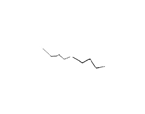 ClCCCPCCCCl